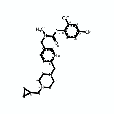 CN(Cc1ccc(CN2CCN(CC3CC3)CC2)nc1)C(=O)Nc1ccc(Cl)cc1Cl